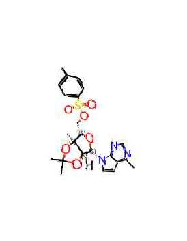 Cc1ccc(S(=O)(=O)OC[C@@H]2O[C@H](n3ccc4c(C)ncnc43)[C@H]3OC(C)(C)O[C@@]23C)cc1